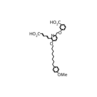 COc1ccc(CCCCCCCCOc2ccc(COc3cccc(C(=O)O)c3)nc2C=C/C=C/C(=O)O)cc1